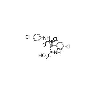 O=C(Nc1ccc(Cl)cc1)N[C@H]1C[C@H](C(=O)O)Nc2cc(Cl)cc(Cl)c21